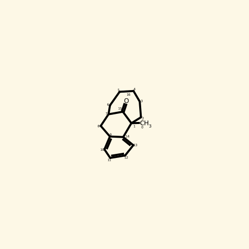 CC12CCCCCC(Cc3ccccc31)C2=O